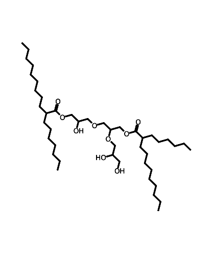 CCCCCCCCCC(CCCCCCC)C(=O)OCC(O)COCC(COC(=O)C(CCCCCC)CCCCCCCCC)OCC(O)CO